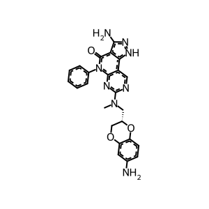 CN(C[C@H]1COc2cc(N)ccc2O1)c1ncc2c3[nH]nc(N)c3c(=O)n(-c3ccccc3)c2n1